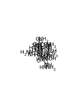 CC(=O)N[C@@H](CCC(N)=O)C(=O)N[C@@H](CS)C(=O)N[C@@H](CCCNC(=N)N)C(=O)N[C@@H](Cc1ccccc1)C(=O)N[C@@H](Cc1ccccc1)C(=O)N[C@@H](CCCNC(=N)N)C(=O)N[C@@H](CO)C(=O)N[C@@H](C)C(=O)N[C@@H](CS)C(=O)N[C@@H](CO)C(N)=O